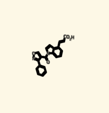 O=C(O)/C=C/c1cccc2c1ccn2C(=O)c1conc1-c1ccccc1